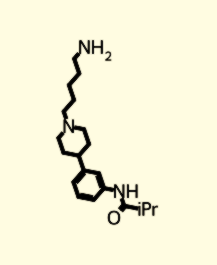 CC(C)C(=O)Nc1cccc(C2CCN(CCCCCN)CC2)c1